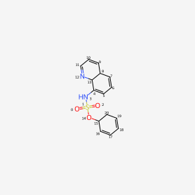 O=S(=O)(NC1=CC=CC2C=CC=NC12)OC1C=CC=CC1